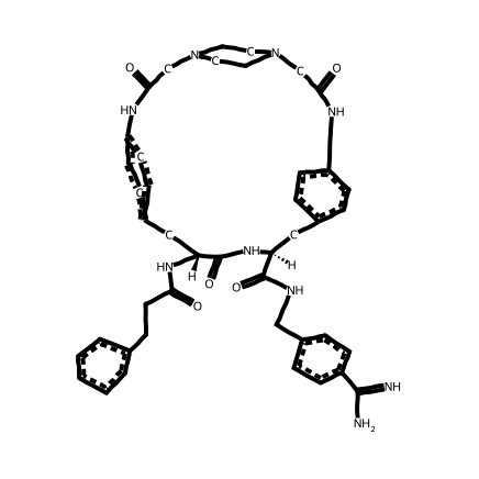 N=C(N)c1ccc(CNC(=O)[C@@H]2Cc3ccc(cc3)NC(=O)CN3CCN(CC3)CC(=O)Nc3ccc(cc3)C[C@@H](NC(=O)CCc3ccccc3)C(=O)N2)cc1